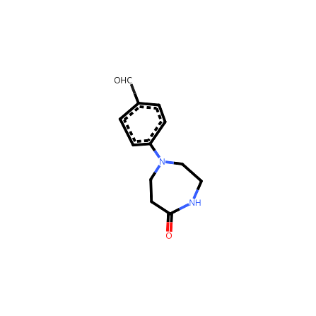 O=Cc1ccc(N2CCNC(=O)CC2)cc1